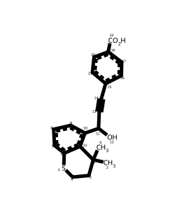 CC1(C)CCSc2cccc(C(O)C#Cc3ccc(C(=O)O)cc3)c21